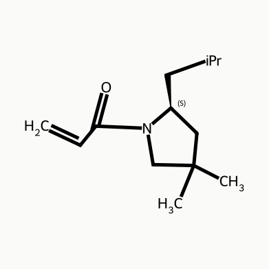 C=CC(=O)N1CC(C)(C)C[C@@H]1CC(C)C